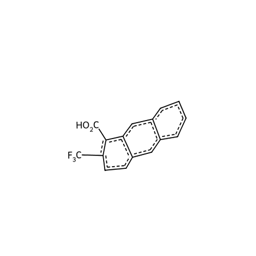 O=C(O)c1c(C(F)(F)F)ccc2cc3ccccc3cc12